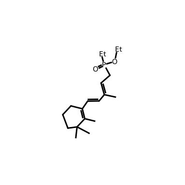 CCOP(=O)(CC)CC=C(C)C=CC1=C(C)C(C)(C)CCC1